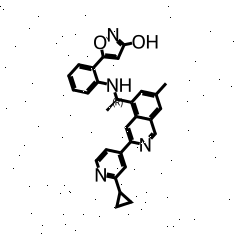 Cc1cc([C@@H](C)Nc2ccccc2-c2cc(O)no2)c2cc(-c3ccnc(C4CC4)c3)ncc2c1